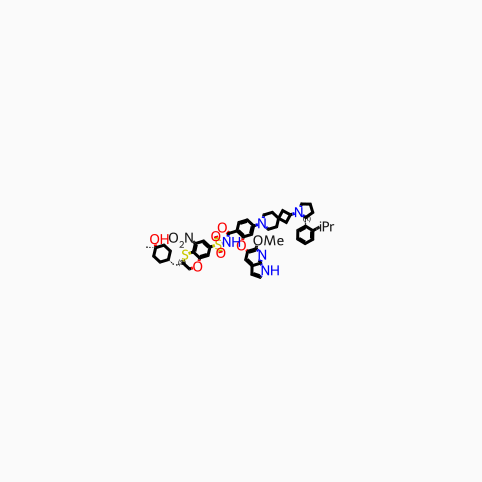 COc1nc2[nH]ccc2cc1Oc1cc(N2CCC3(CC2)CC(N2CCC[C@@H]2c2ccccc2C(C)C)C3)ccc1C(=O)NS(=O)(=O)c1cc2c(c([N+](=O)[O-])c1)S[C@@H](C[C@H]1CC[C@](C)(O)CC1)CO2